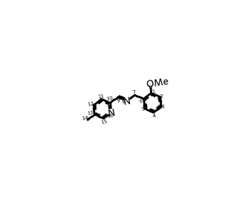 COc1ccccc1CN=Cc1ccc(C)cn1